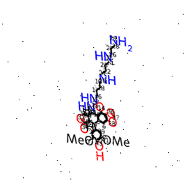 COc1cc(C2c3cc4c(cc3[C@@H](NC(=O)NCCCCNCCCCNCCCN)[C@H]3COC(=O)[C@H]23)OCO4)cc(OC)c1O